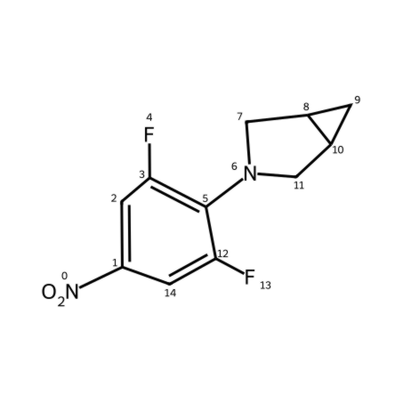 O=[N+]([O-])c1cc(F)c(N2CC3CC3C2)c(F)c1